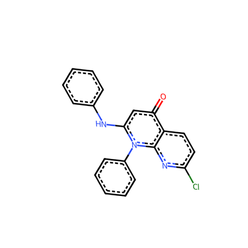 O=c1cc(Nc2ccccc2)n(-c2ccccc2)c2nc(Cl)ccc12